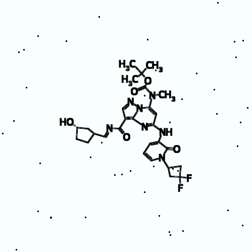 CN(C(=O)OC(C)(C)C)c1cc(Nc2cccn(C3CC(F)(F)C3)c2=O)nc2c(C(=O)/N=C/C3CC[C@H](O)C3)cnn12